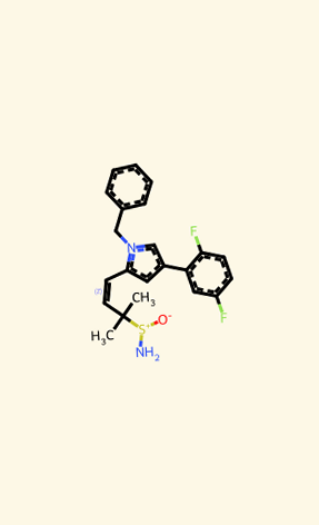 CC(C)(/C=C\c1cc(-c2cc(F)ccc2F)cn1Cc1ccccc1)[S+](N)[O-]